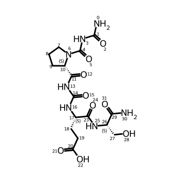 NC(=O)NC(=O)N1CCC[C@H]1C(=O)NC(=O)N[C@@H](CCC(=O)O)C(=O)N[C@@H](CO)C(N)=O